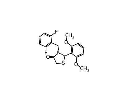 COc1cccc(OC)c1C1SCC(=O)N1Cc1c(F)cccc1F